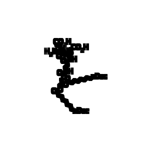 CCCCCCCCCCCCCCCCCC(=O)OCC(COC(=O)NCCC(=O)NC(CCC(=O)O)C(=O)NC(CCC(=O)O)C(N)=O)OC(=O)CCCCCCCCCCCCCCCCC